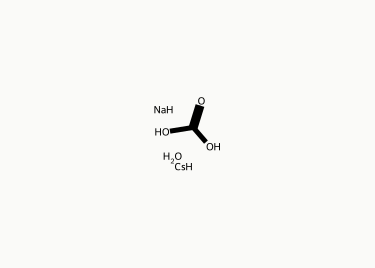 O.O=C(O)O.[CsH].[NaH]